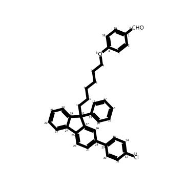 O=Cc1ccc(OCCCCCCC2(c3ccccc3)c3ccccc3-c3ccc(-c4ccc(Cl)cc4)cc32)cc1